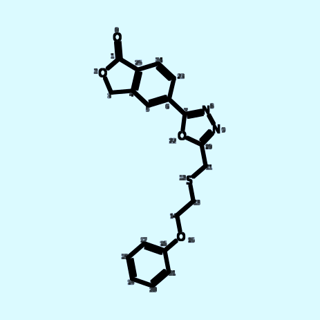 O=C1OCc2cc(-c3nnc(CSCCOc4ccccc4)o3)ccc21